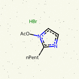 Br.CCCCCc1nccn1OC(C)=O